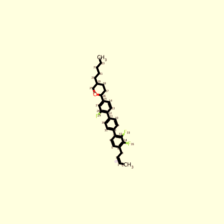 C/C=C\Cc1ccc(-c2ccc(-c3ccc(C4CCC(CCCCC)CO4)cc3F)cc2)c(F)c1F